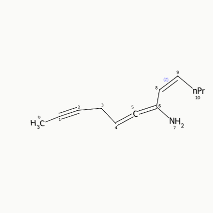 CC#CCC=C=C(N)/C=C\CCC